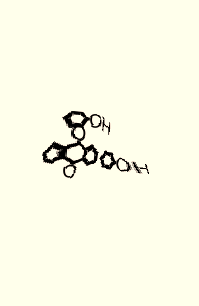 O=C1c2ccccc2C(=O)c2ccccc21.Oc1ccccc1.Oc1ccccc1